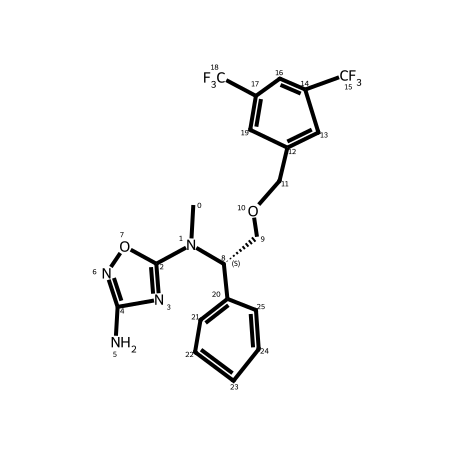 CN(c1nc(N)no1)[C@H](COCc1cc(C(F)(F)F)cc(C(F)(F)F)c1)c1ccccc1